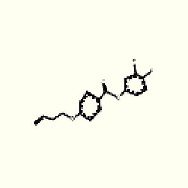 C=CCCOc1ccc(C(=O)Oc2ccc(F)c(F)c2)cc1